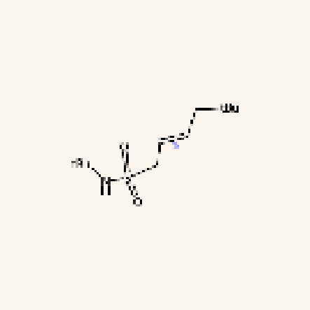 CC(C)(C)C/C=C/CS(=O)(=O)NC(C)(C)C